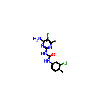 Cc1ccc(NC(=O)Nc2nc(C)c(F)c(N)n2)cc1Cl